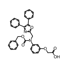 O=C(O)COc1cccc(N(Cc2nc(-c3ccccc3)c(-c3ccccc3)o2)C(=O)OCc2ccccc2)c1